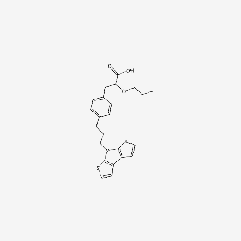 CCCOC(Cc1ccc(CCCn2c3sccc3c3ccsc32)cc1)C(=O)O